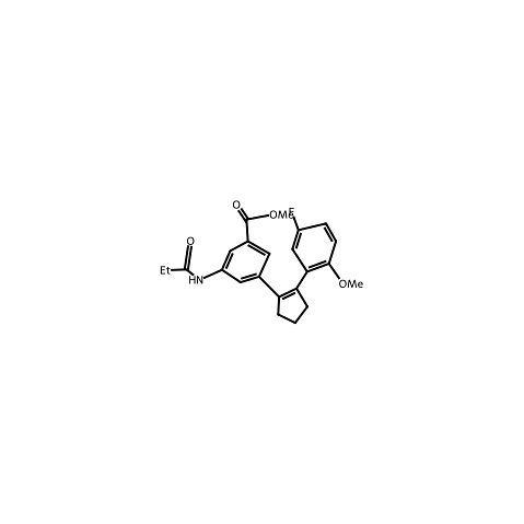 CCC(=O)Nc1cc(C(=O)OC)cc(C2=C(c3cc(F)ccc3OC)CCC2)c1